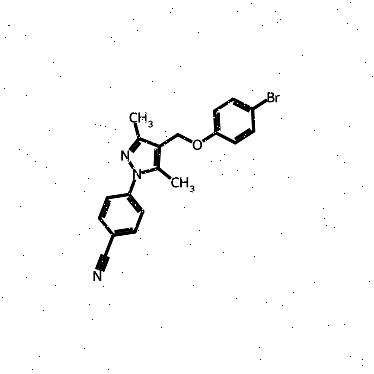 Cc1nn(-c2ccc(C#N)cc2)c(C)c1COc1ccc(Br)cc1